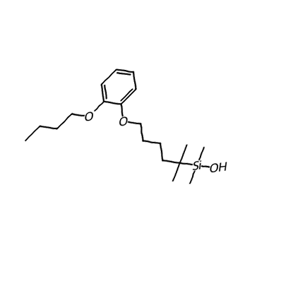 CCCCOc1ccccc1OCCCCC(C)(C)[Si](C)(C)O